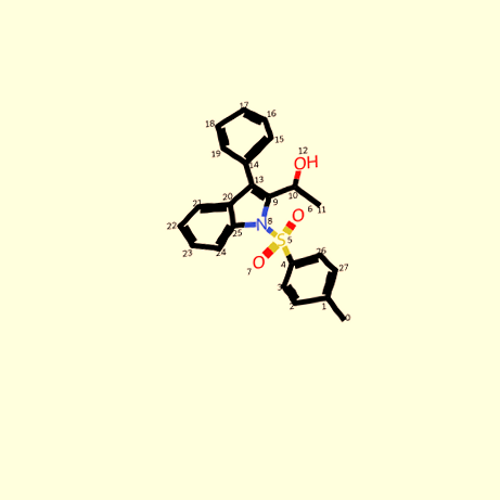 Cc1ccc(S(=O)(=O)n2c(C(C)O)c(-c3ccccc3)c3ccccc32)cc1